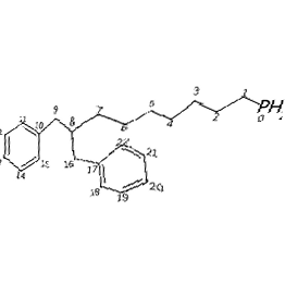 PCCCCCCCC(Cc1ccccc1)Cc1ccccc1